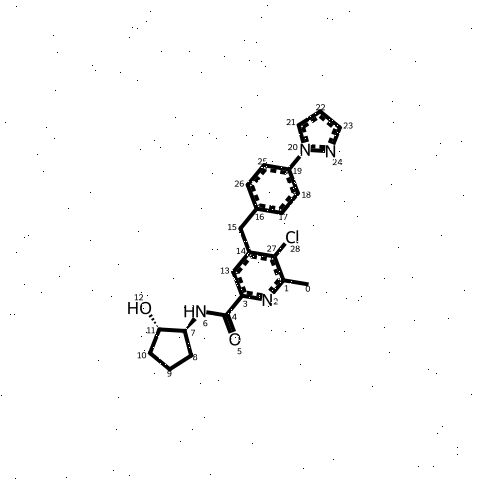 Cc1nc(C(=O)N[C@H]2CCC[C@@H]2O)cc(Cc2ccc(-n3cccn3)cc2)c1Cl